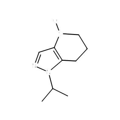 CC(C)n1ncc2c1CCC[S+]2[O-]